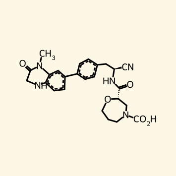 CN1C(=O)CNc2ccc(-c3ccc(C[C@@H](C#N)NC(=O)[C@@H]4CN(C(=O)O)CCCO4)cc3)cc21